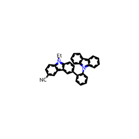 CCn1c2ccc(C#N)cc2c2cc(-c3ccccc3-n3c4ccccc4c4ccccc43)ccc21